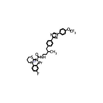 CC(CCNC(=O)/N=C1\SCCCN1c1ccc(F)cc1C(C)C)Cc1ccc(-c2ncn(-c3ccc(OC(F)(F)F)cc3)n2)cc1